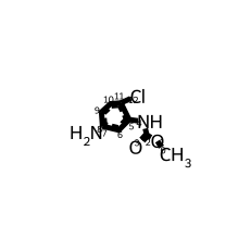 COC(=O)Nc1cc(N)ccc1Cl